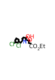 CCOC(=O)CCC(=O)c1nc(Cc2cccc(Cl)c2Cl)ccc1O